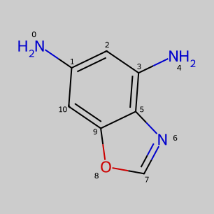 Nc1cc(N)c2ncoc2c1